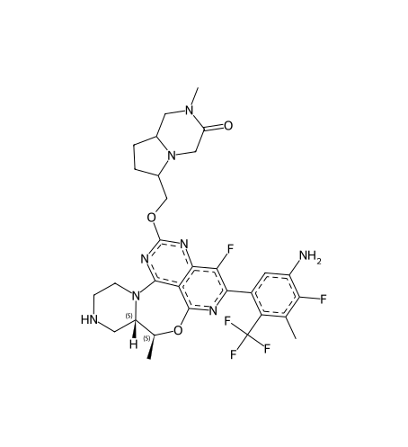 Cc1c(F)c(N)cc(-c2nc3c4c(nc(OCC5CCC6CN(C)C(=O)CN56)nc4c2F)N2CCNC[C@H]2[C@H](C)O3)c1C(F)(F)F